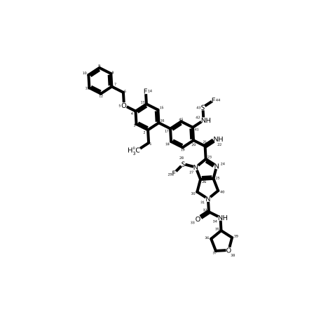 CCc1cc(OCc2ccccc2)c(F)cc1-c1ccc(C(=N)c2nc3c(n2SF)CN(C(=O)NC2CCOC2)C3)c(NSF)c1